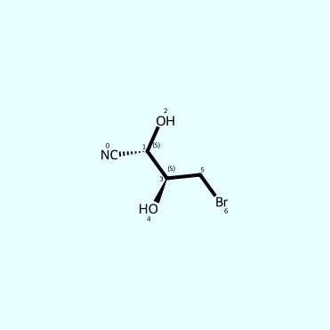 N#C[C@H](O)[C@H](O)CBr